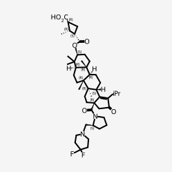 CC(C)C1=C2[C@H]3CC[C@@H]4[C@@]5(C)CC[C@H](OC(=O)[C@H]6C[C@@H](C(=O)O)[C@H]6C)C(C)(C)[C@@H]5CC[C@@]4(C)[C@]3(C)CC[C@@]2(C(=O)N2CCC[C@H]2CN2CCC(F)(F)CC2)CC1=O